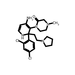 CN1CCN(C2=C(N)C=CNC2(CCN2CCCC2)c2ccc(Cl)cc2Cl)C(=O)C1